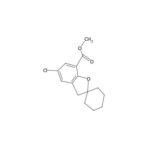 COC(=O)c1cc(Cl)cc2c1OC1(CCCCC1)C2